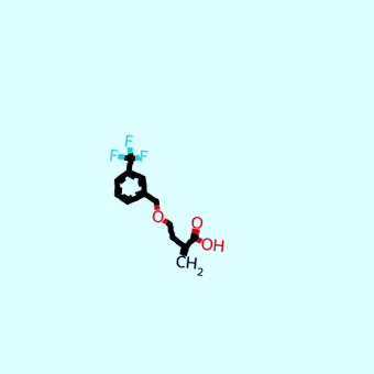 C=C(CCOCc1cccc(C(F)(F)F)c1)C(=O)O